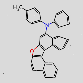 Cc1ccc(N(c2ccccc2)c2cc3oc4ccc5ccccc5c4c3c3ccccc23)cc1